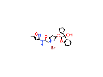 Cc1cc(NC(=O)C[N+]2(C)CC[C@@H](OC(=O)C(O)(c3ccccc3)C3CCCC3)C2)no1.[Br-]